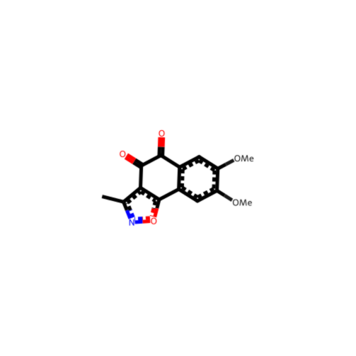 COc1cc2c(cc1OC)-c1onc(C)c1C(=O)C2=O